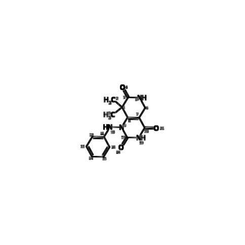 CC1(C)C(=O)NCc2c1n(Nc1ccccc1)c(=O)[nH]c2=O